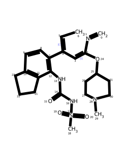 C=N/C(=C\C(=C/C)c1ccc2c(c1NC(=O)NS(C)(=O)=O)CCC2)OC1CCN(C)CC1